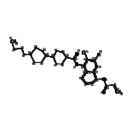 C=CC(=O)Oc1cccc2c(OC(=O)C3CCC(C4CCC(CCCC)CC4)CC3)c(Cl)c(Cl)cc12